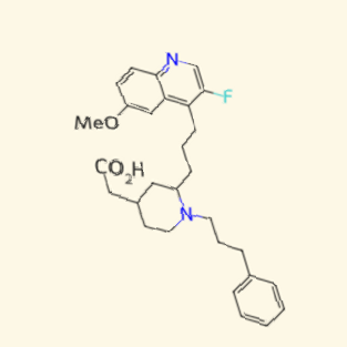 COc1ccc2ncc(F)c(CCCC3CC(CC(=O)O)CCN3CCCc3ccccc3)c2c1